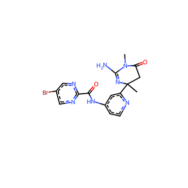 CN1C(=O)CC(C)(c2cc(NC(=O)c3ncc(Br)cn3)ccn2)N=C1N